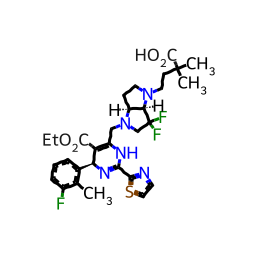 CCOC(=O)C1=C(CN2CC(F)(F)[C@H]3[C@@H]2CCN3CCC(C)(C)C(=O)O)NC(c2nccs2)=N[C@H]1c1cccc(F)c1C